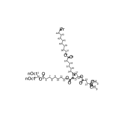 CCCCCCCCC(CCCCCCCC)OC(=O)CCCCCCCOC(=O)[C@@H]1CC(OC(=O)CCN(C)C)CN1CCCCCC(=O)OCCCCCCCCC(C)C